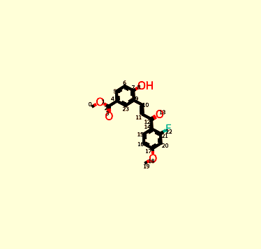 COC(=O)c1ccc(O)c(C=CC(=O)c2ccc(OC)cc2F)c1